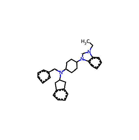 CCN1[CH]N(C2CCC(N(Cc3ccccc3)C3Cc4ccccc4C3)CC2)c2ccccc21